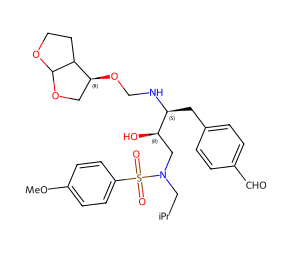 COc1ccc(S(=O)(=O)N(CC(C)C)C[C@@H](O)[C@H](Cc2ccc(C=O)cc2)NCO[C@H]2COC3OCCC32)cc1